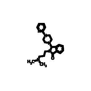 CN(C)CCCN1C(=O)c2ccccc2C1N1CCN(c2ccccn2)CC1